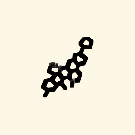 Cc1ccc2c(CC(C)(C)C)c3c(c(C)c2c1)-c1c2c(cc4cc(C5CCCCC5)ccc4c2cc[n+]1C)O3